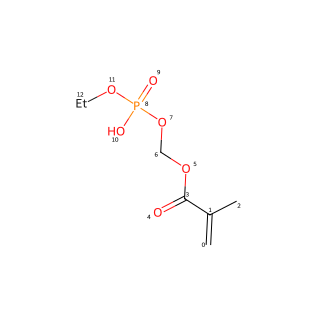 C=C(C)C(=O)OCOP(=O)(O)OCC